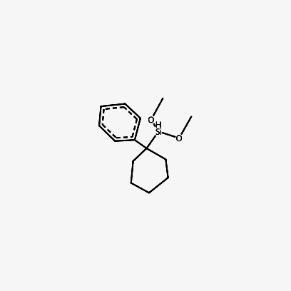 CO[SiH](OC)C1(c2ccccc2)CCCCC1